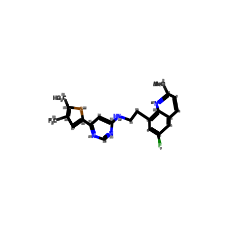 COc1ccc2cc(F)cc(CCNc3cc(-c4cc(C(F)(F)F)c(C(=O)O)s4)ncn3)c2n1